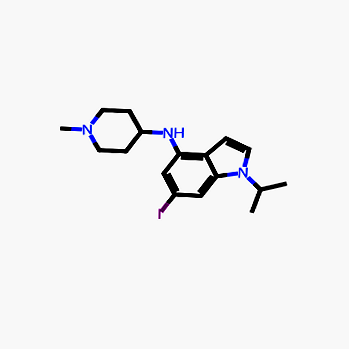 CC(C)n1ccc2c(NC3CCN(C)CC3)cc(I)cc21